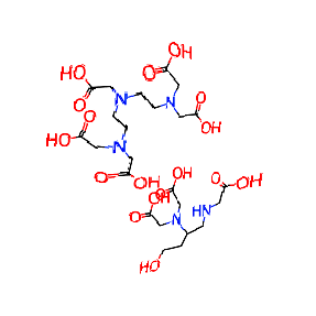 O=C(O)CN(CCN(CC(=O)O)CC(=O)O)CCN(CC(=O)O)CC(=O)O.O=C(O)CNCC(CCO)N(CC(=O)O)CC(=O)O